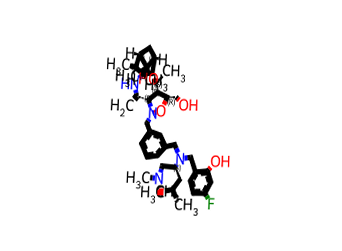 C=C(N[C@H]1C[C@H]2C[C@@H]([C@@H]1C)C2(C)C)[C@@H]1[C@H]([C@H](C)O)[C@H](CO)ON1Cc1cccc(CN(Cc2ccc(F)cc2O)[C@@H](CC(C)C)CN(C)C)c1